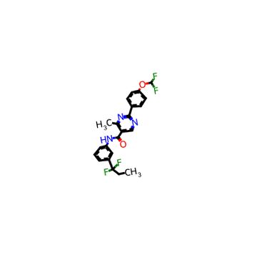 CCC(F)(F)c1cccc(NC(=O)c2cnc(-c3ccc(OC(F)F)cc3)nc2C)c1